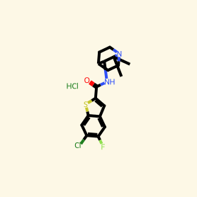 CC1(C)C(NC(=O)c2cc3cc(F)c(Cl)cc3s2)C2CCN1CC2.Cl